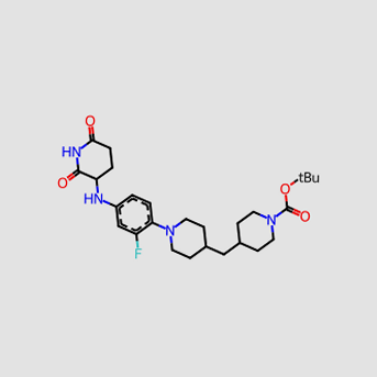 CC(C)(C)OC(=O)N1CCC(CC2CCN(c3ccc(NC4CCC(=O)NC4=O)cc3F)CC2)CC1